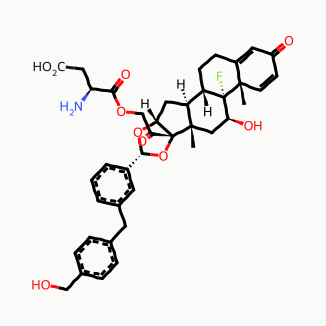 C[C@]12C=CC(=O)C=C1CC[C@H]1[C@@H]3C[C@H]4O[C@@H](c5cccc(Cc6ccc(CO)cc6)c5)O[C@@]4(C(=O)COC(=O)[C@@H](N)CC(=O)O)[C@@]3(C)C[C@H](O)[C@@]12F